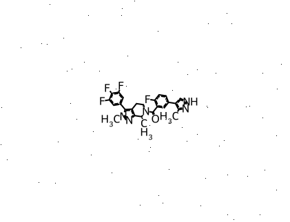 Cc1n[nH]cc1-c1ccc(F)c(C(=O)N2CCc3c(nn(C)c3-c3cc(F)c(F)c(F)c3)[C@@H]2C)c1